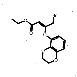 CCOC(=O)/C=C(/CBr)Oc1cccc2c1OCCO2